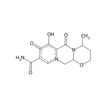 CC1CCOC2Cn3cc(C(N)=O)c(=O)c(O)c3C(=O)N12